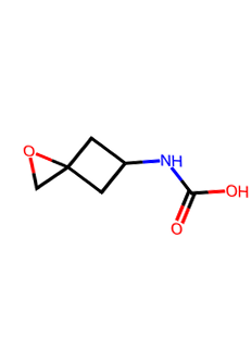 O=C(O)NC1CC2(CO2)C1